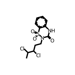 CC(Cl)C(Cl)CCN1C(=O)Nc2ccccc2S1(=O)=O